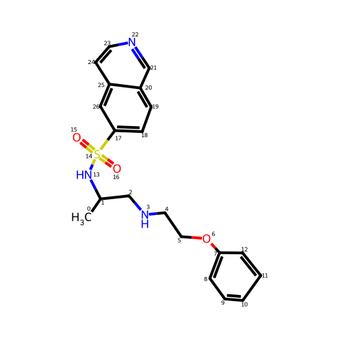 CC(CNCCOc1ccccc1)NS(=O)(=O)c1ccc2cnccc2c1